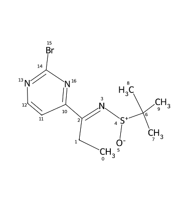 CCC(=N[S+]([O-])C(C)(C)C)c1ccnc(Br)n1